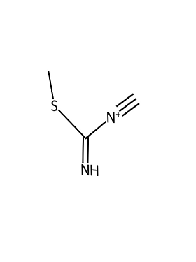 C#[N+]C(=N)SC